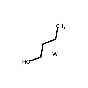 CCCCO.[W]